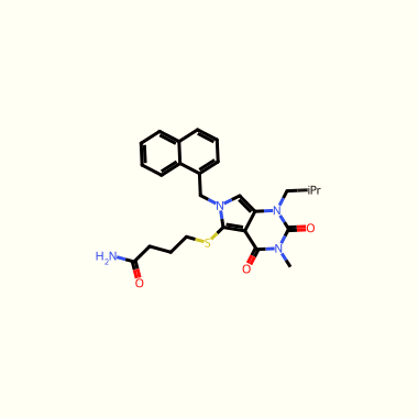 CC(C)Cn1c(=O)n(C)c(=O)c2c(SCCCC(N)=O)n(Cc3cccc4ccccc34)cc21